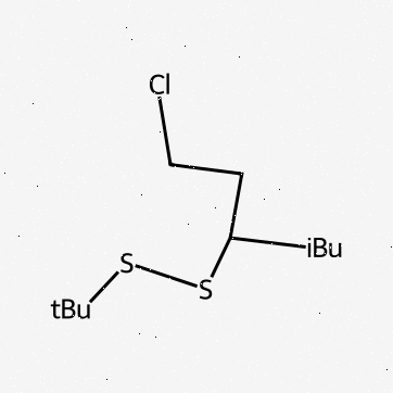 CCC(C)C(CCCl)SSC(C)(C)C